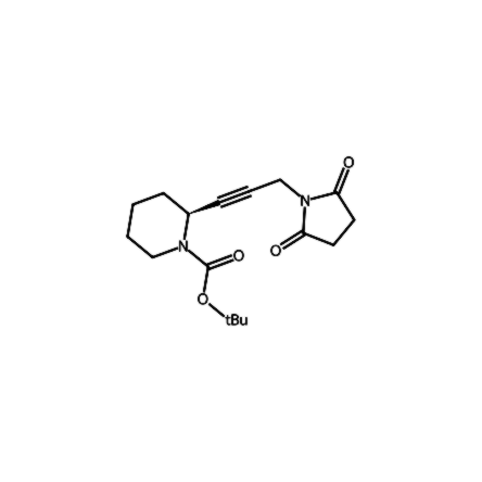 CC(C)(C)OC(=O)N1CCCC[C@H]1C#CCN1C(=O)CCC1=O